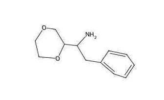 NC(Cc1ccccc1)C1COCCO1